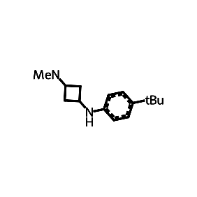 CNC1CC(Nc2ccc(C(C)(C)C)cc2)C1